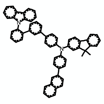 CC1(C)c2ccccc2-c2ccc(N(c3ccc(-c4cccc(-c5ccccc5-n5c6ccccc6c6ccccc65)c4)cc3)c3ccc(-c4ccc5ccccc5c4)cc3)cc21